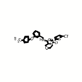 O=C(NCc1cccc(Oc2ccc(C(F)(F)F)cc2)c1)C1COCCN1S(=O)(=O)c1ccc(Cl)s1